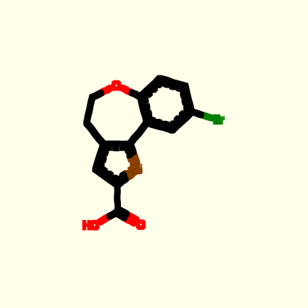 O=C(O)c1cc2c(s1)-c1cc(Br)ccc1OCC2